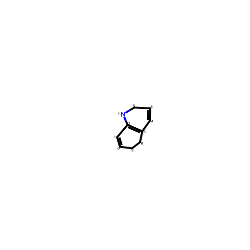 C1=CC2=C(C=CC[N]2)CC1